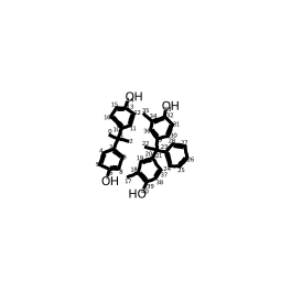 CC(C)(c1ccc(O)cc1)c1ccc(O)cc1.Cc1cc(C(C)(c2ccccc2)c2ccc(O)c(C)c2)ccc1O